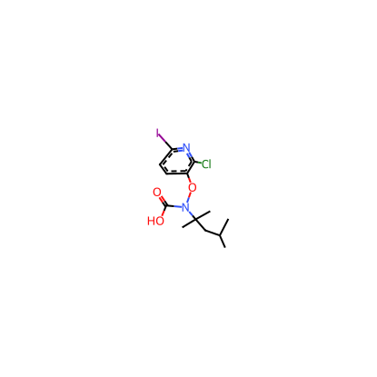 CC(C)CC(C)(C)N(Oc1ccc(I)nc1Cl)C(=O)O